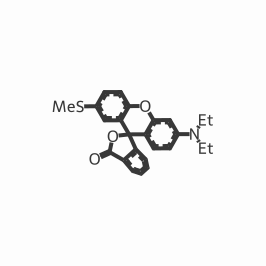 CCN(CC)c1ccc2c(c1)Oc1ccc(SC)cc1C21OC(=O)c2ccccc21